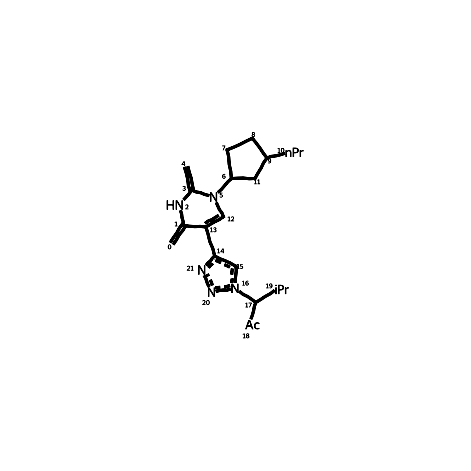 C=C1NC(=C)N(C2CCC(CCC)C2)C=C1c1cn(C(C(C)=O)C(C)C)nn1